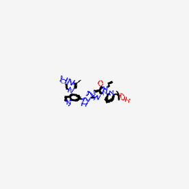 C=CCn1c(=O)c2cnc(Nc3cc(N4C[C@H](C)N[C@@H](C)C4)c4ccn(C)c4c3)nc2n1-c1cccc(C(C)(C)O)n1